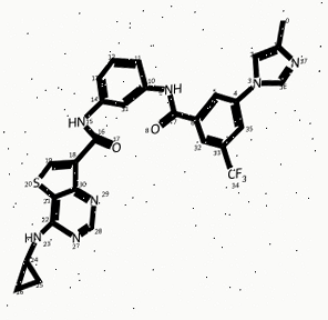 Cc1cn(-c2cc(C(=O)Nc3cccc(NC(=O)c4csc5c(NC6CC6)ncnc45)c3)cc(C(F)(F)F)c2)cn1